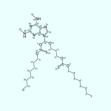 CCCCCCCCOC(=S)OCCCOC(OC(=S)OCCCCCCCC)n1cnc2c(NC)nc(NC)nc21